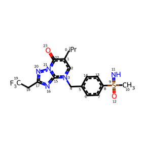 CC(C)c1cn(Cc2ccc(S(C)(=N)=O)cc2)c2nc(CC(F)(F)F)nn2c1=O